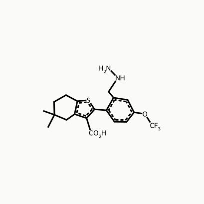 CC1(C)CCc2sc(-c3ccc(OC(F)(F)F)cc3CNN)c(C(=O)O)c2C1